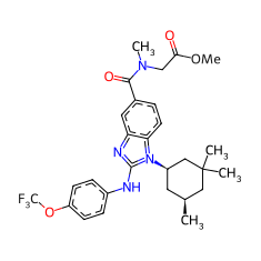 COC(=O)CN(C)C(=O)c1ccc2c(c1)nc(Nc1ccc(OC(F)(F)F)cc1)n2[C@@H]1C[C@H](C)CC(C)(C)C1